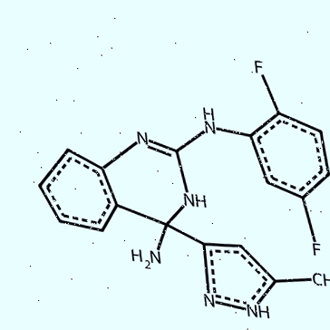 Cc1cc(C2(N)NC(Nc3cc(F)ccc3F)=Nc3ccccc32)n[nH]1